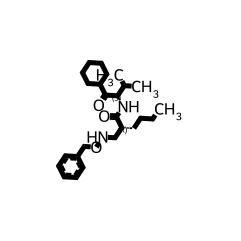 CCCC[C@H](CNOCc1ccccc1)C(=O)N[C@H](C(=O)C1CCCCC1)C(C)C